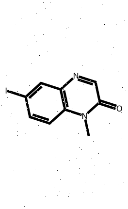 Cn1c(=O)cnc2cc(I)ccc21